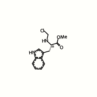 COC(=O)[C@H](Cc1c[nH]c2ccccc12)NCCl